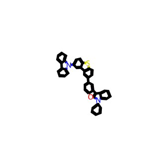 c1ccc(-n2c3ccccc3c3c4cc(-c5ccc6sc7ccc(-n8c9ccccc9c9ccccc98)cc7c6c5)ccc4oc32)cc1